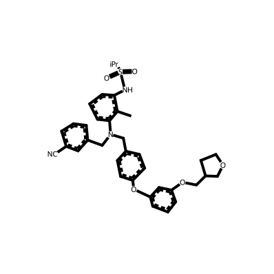 Cc1c(NS(=O)(=O)C(C)C)cccc1N(Cc1ccc(Oc2cccc(OCC3CCOC3)c2)cc1)Cc1cccc(C#N)c1